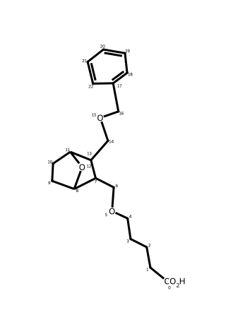 O=C(O)CCCCOCC1C2CCC(O2)C1COCc1ccccc1